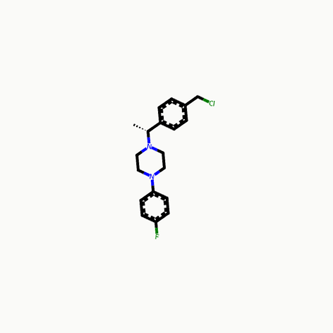 C[C@H](c1ccc(CCl)cc1)N1CCN(c2ccc(F)cc2)CC1